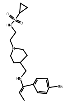 C/C=C(/NCC1CCN(CCNS(=O)(=O)C2CC2)CC1)c1ccc(C(C)(C)C)cc1